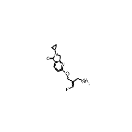 NC/C(=C/F)COc1ccc2c(n1)CN(C1CC1)C2=O